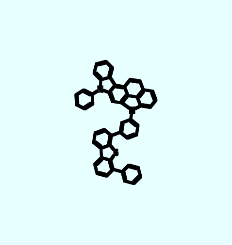 c1ccc(-c2cccc3c2sc2c(-c4cccc(-n5c6cccc7ccc8c9c%10ccccc%10n(-c%10ccccc%10)c9cc5c8c76)c4)cccc23)cc1